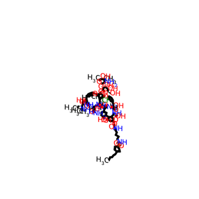 CCCCCCc1ccc(S(=O)(=O)NCCCCCNC(=O)Oc2cc(O)c3c(c2)[C@@H](C(=O)O)NC(=O)[C@H]2NC(=O)[C@H](NC(=O)[C@@H]4NC(=O)[C@H](CC(N)=O)NC(=O)[C@H](NC(=O)[C@@H](CC(C)C)NC)[C@H](O)c5ccc(c(C)c5)Oc5cc4cc(c5O[C@@H]4O[C@H](CO)[C@@H](O)[C@H](O)[C@H]4O[C@H]4C[C@](C)(N)[C@H](O)[C@H](C)O4)Oc4ccc(cc4Cl)[C@H]2O)c2ccc(O)c-3c2)cc1